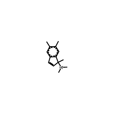 Cc1cc2c(cc1C)[C](C)([Hf]([CH3])[CH3])C=C2